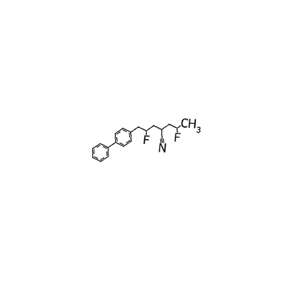 CC(F)CC(C#N)CC(F)Cc1ccc(-c2ccccc2)cc1